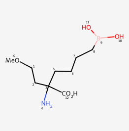 COCCC(N)(CCCCB(O)O)C(=O)O